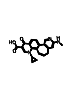 CNc1cc2c(cn1)-c1ccc3c(=O)c(C(=O)O)cn(C4CC4)c3c1C=CC2